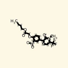 CCCCOC(=O)COc1ccc(-c2ncc(C(F)(F)F)n(C)c2=O)cc1[N+](=O)[O-]